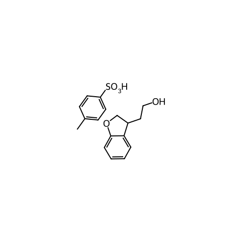 Cc1ccc(S(=O)(=O)O)cc1.OCCC1COc2ccccc21